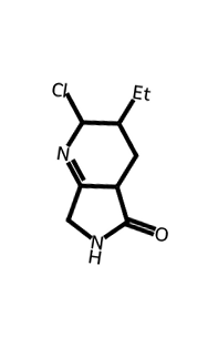 CCC1CC2C(=O)NCC2=NC1Cl